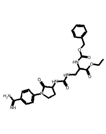 CCOC(=O)C(CNC(=O)NC1CCN(c2ccc(C(=N)N)cc2)C1=O)NC(=O)OCc1ccccc1